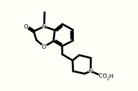 CN1C(=O)COc2c(CC3CCN(C(=O)O)CC3)cccc21